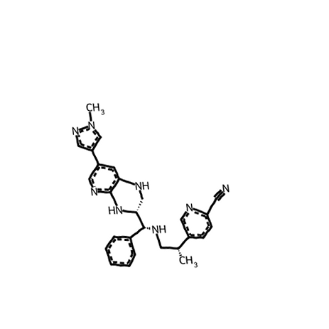 C[C@H](CN[C@H](c1ccccc1)[C@H]1CNc2cc(-c3cnn(C)c3)cnc2N1)c1ccc(C#N)nc1